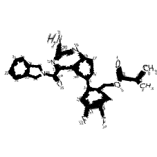 CC(C)C(=O)OCc1cc(F)c(F)cc1-c1ccc2nc(N)nc(C(=O)N3Cc4ccccc4C3)c2c1